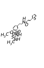 CCOc1ccc(CCNC(=O)C=Cc2cccs2)cc1S(=O)(=O)NC(=S)NC